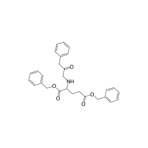 O=C(CNC(CCC(=O)OCc1ccccc1)C(=O)OCc1ccccc1)Cc1ccccc1